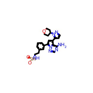 Nc1ncnn2c(-c3cccc(CCN[SH](=O)=O)c3)cc(-c3ccnn3C3CCOCC3)c12